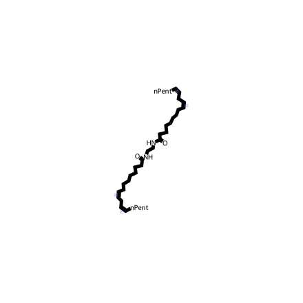 CCCCC/C=C\C/C=C\CCCCCCCC(=O)NCCNC(=O)CCCCCCC/C=C\C/C=C\CCCCC